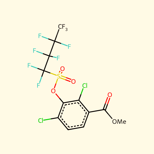 COC(=O)c1ccc(Cl)c(OS(=O)(=O)C(F)(F)C(F)(F)C(F)(F)C(F)(F)F)c1Cl